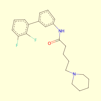 O=C(CCCCN1CCCCC1)Nc1cccc(-c2cccc(F)c2F)c1